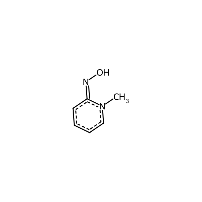 Cn1ccccc1=NO